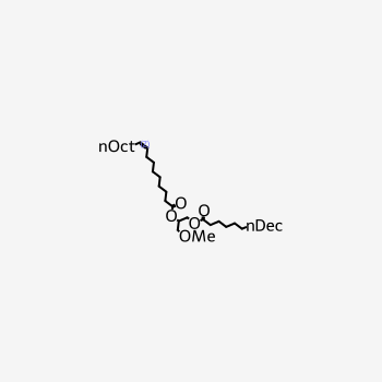 CCCCCCCC/C=C\CCCCCCCC(=O)OC(COC)COC(=O)CCCCCCCCCCCCCCC